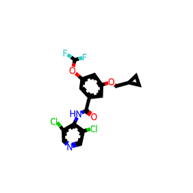 O=C(Nc1c(Cl)cncc1Cl)c1cc(OCC2CC2)cc(OC(F)F)c1